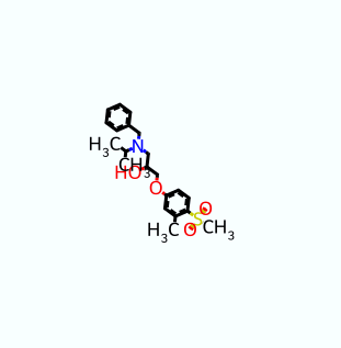 Cc1cc(OCC(O)CN(Cc2ccccc2)C(C)C)ccc1S(C)(=O)=O